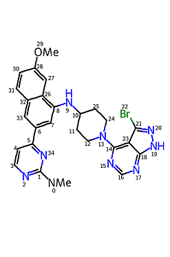 CNc1nccc(-c2cc(NC3CCN(c4ncnc5[nH]nc(Br)c45)CC3)c3cc(OC)ccc3c2)n1